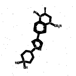 CC(=O)N1c2ccc(-c3cnn(C4CCS(O)(O)CC4)c3)cc2N(C(=O)O)C[C@@H]1C